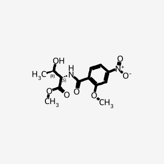 COC(=O)[C@@H](NC(=O)c1ccc([N+](=O)[O-])cc1OC)[C@@H](C)O